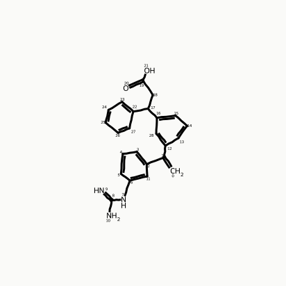 C=C(c1cccc(NC(=N)N)c1)c1cccc(C(CC(=O)O)c2ccccc2)c1